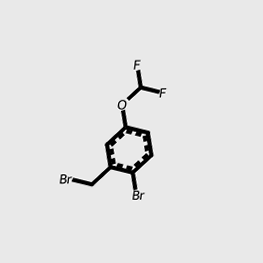 FC(F)Oc1ccc(Br)c(CBr)c1